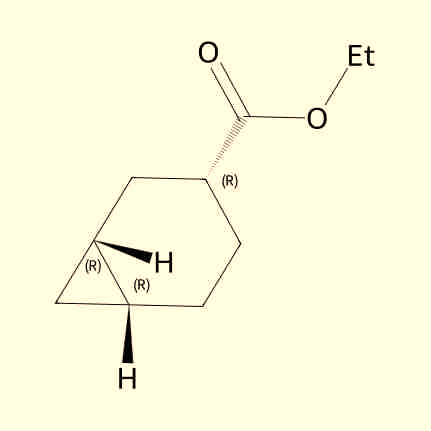 CCOC(=O)[C@@H]1CC[C@@H]2C[C@@H]2C1